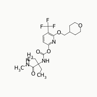 CCC(CC)(NC(=O)Oc1ccc(C(F)(F)F)c(OCC2CCOCC2)n1)C(=O)NC